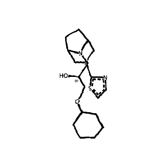 O[C@H](COC1CCCCC1)CN1C2CCC1CN(c1nccs1)C2